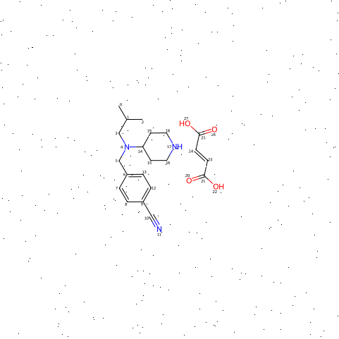 CC(C)CN(Cc1ccc(C#N)cc1)C1CCNCC1.O=C(O)C=CC(=O)O